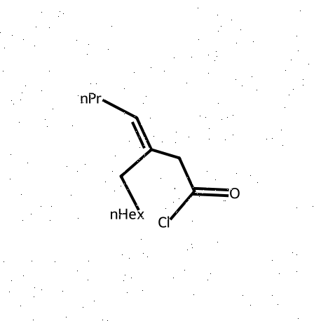 CCC/C=C(\CCCCCCC)CC(=O)Cl